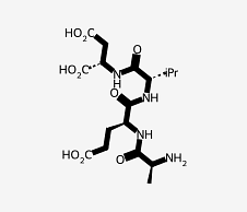 CC(C)[C@H](NC(=O)[C@H](CCC(=O)O)NC(=O)[C@H](C)N)C(=O)N[C@@H](CC(=O)O)C(=O)O